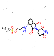 CS(=O)(=O)OCCCNc1cccc2c1C(=O)N(C1CCC(=O)NC1=O)C2=O